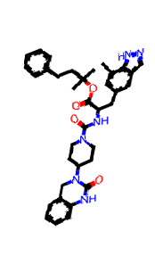 Cc1cc(CC(NC(=O)N2CCC(N3Cc4ccccc4NC3=O)CC2)C(=O)OC(C)(C)CCc2ccccc2)cc2cn[nH]c12